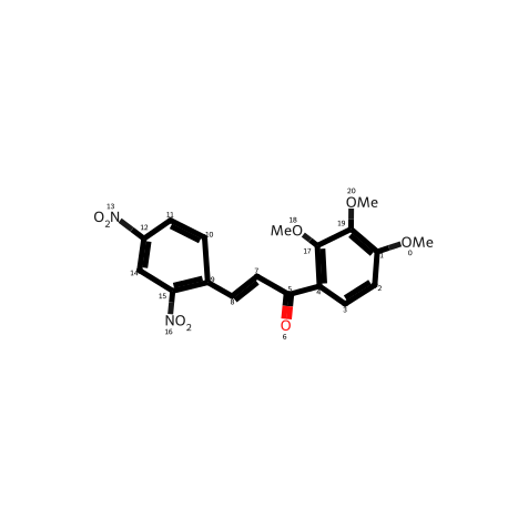 COc1ccc(C(=O)C=Cc2ccc([N+](=O)[O-])cc2[N+](=O)[O-])c(OC)c1OC